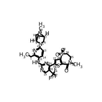 CCc1nc(N2C[C@H]3C[C@@H]2CN3C)ccc1Nc1ncc(C(F)(F)F)c(-c2cc3c(s2)C(=O)N(C)CCS3(=O)=O)n1